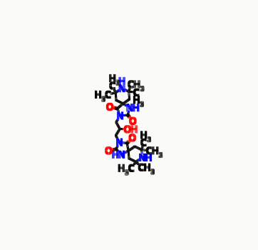 CC1(C)CC2(CC(C)(C)N1)NC(=O)N(CC(O)CN1C(=O)NC3(CC(C)(C)NC(C)(C)C3)C1=O)C2=O